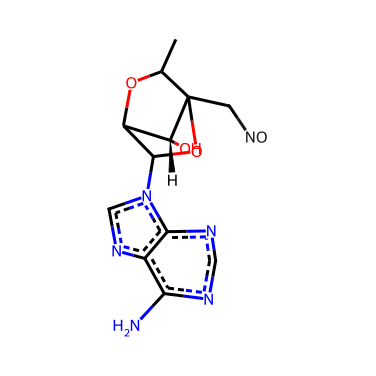 CC1OC2C(n3cnc4c(N)ncnc43)OC1(CN=O)[C@@H]2O